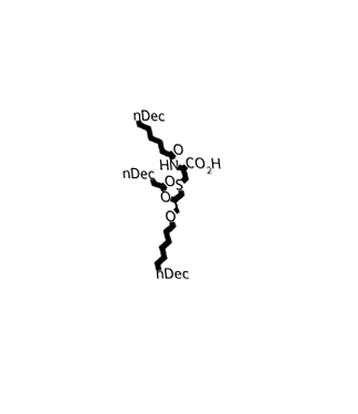 CCCCCCCCCCCCCCCCOC[C@H](CSCC(NC(=O)CCCCCCCCCCCCCCC)C(=O)O)OC(=O)CCCCCCCCCCC